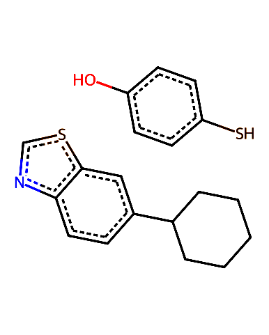 Oc1ccc(S)cc1.c1nc2ccc(C3CCCCC3)cc2s1